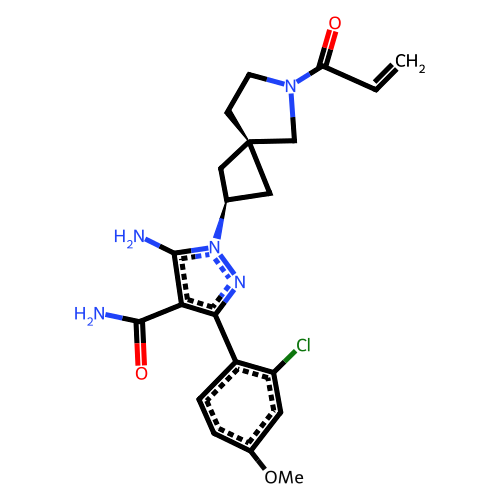 C=CC(=O)N1CC[C@]2(C1)C[C@H](n1nc(-c3ccc(OC)cc3Cl)c(C(N)=O)c1N)C2